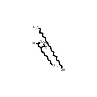 CCCCCCC=CC(CC(=O)O)C(=O)O.CCCCCCCCCCCCCCCCCCO